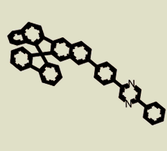 c1ccc(-c2cnc(-c3ccc(-c4ccc5cc6c(cc5c4)C4(c5ccccc5-c5ccccc54)c4c-6ccc5ccccc45)cc3)cn2)cc1